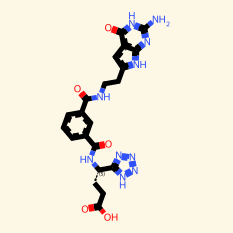 Nc1nc2[nH]c(CCNC(=O)c3cccc(C(=O)N[C@@H](CCC(=O)O)c4nnn[nH]4)c3)cc2c(=O)[nH]1